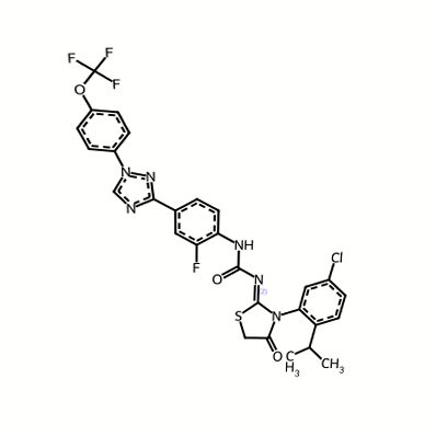 CC(C)c1ccc(Cl)cc1N1C(=O)CS/C1=N\C(=O)Nc1ccc(-c2ncn(-c3ccc(OC(F)(F)F)cc3)n2)cc1F